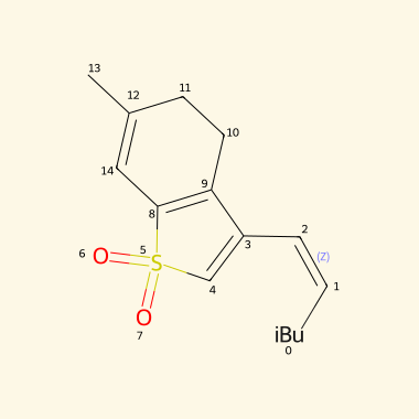 CCC(C)/C=C\C1=CS(=O)(=O)C2=C1CCC(C)=C2